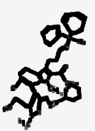 COC(=O)c1c(CCCO[Si](c2ccccc2)(c2ccccc2)C(C)(C)C)c2ccc(Cl)c(-c3c(COC4CCCCO4)nn(C)c3CO)c2n1C